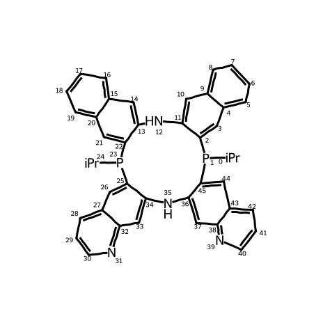 CC(C)P1c2cc3ccccc3cc2Nc2cc3ccccc3cc2P(C(C)C)c2cc3cccnc3cc2Nc2cc3ncccc3cc21